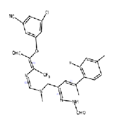 C/C(=C\C(CN(C)/C=N\C(=C(/C=O)Oc1cc(Cl)cc(C#N)c1)C(F)(F)F)=N/NC=O)c1ccc(C)cc1F